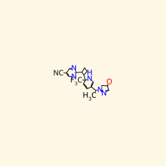 CC(C1=CNC(C2CCC2c2ncc(C#N)cn2)(C(F)(F)F)C=C1)N1CC(=O)C=N1